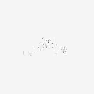 COc1cc(Oc2ccn3ncnc3c2)c(C)cc1Nc1ncnc2ccc(NC(=O)/C(F)=C/[C@H]3CCCN3C)c(Cl)c12